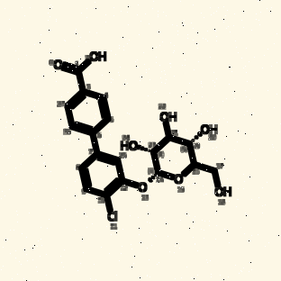 O=C(O)c1ccc(-c2ccc(Cl)c(O[C@H]3OC(CO)[C@@H](O)C(O)[C@H]3O)c2)cc1